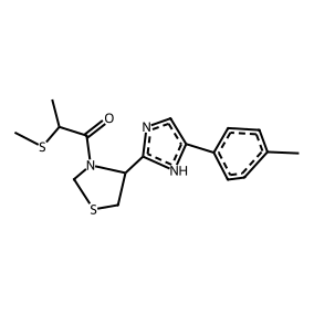 CSC(C)C(=O)N1CSCC1c1ncc(-c2ccc(C)cc2)[nH]1